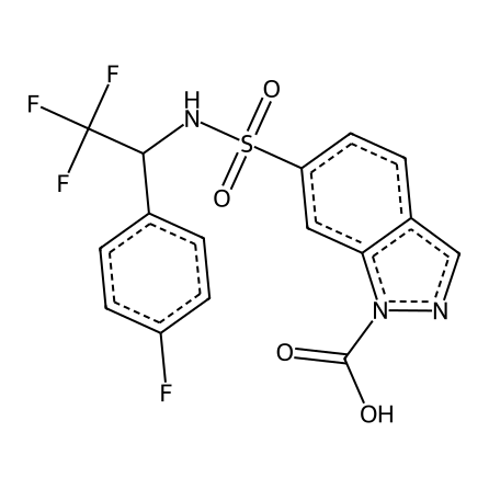 O=C(O)n1ncc2ccc(S(=O)(=O)NC(c3ccc(F)cc3)C(F)(F)F)cc21